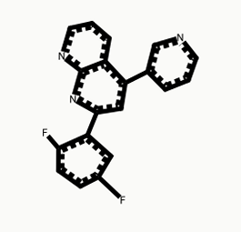 Fc1ccc(F)c(-c2cc(-c3cccnc3)c3cccnc3n2)c1